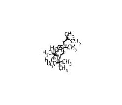 C=C(C)C[Si](C)(C)CN(C(C)(C)C)C(C)(C)C